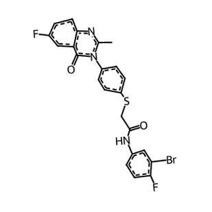 Cc1nc2ccc(F)cc2c(=O)n1-c1ccc(SCC(=O)Nc2ccc(F)c(Br)c2)cc1